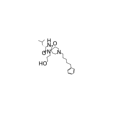 CC(C)C[C@@H]1NC(=O)C2(CCN(CCCCCc3ccccc3)CC2)N(CCCO)C1=O